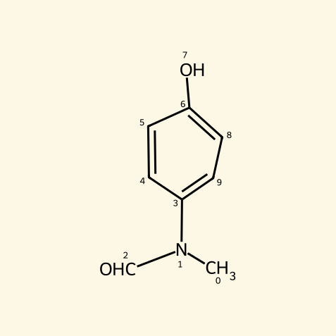 CN(C=O)c1ccc(O)cc1